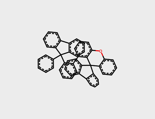 c1ccc(C2(c3ccccc3-c3cccc4c3C3(c5ccccc5O4)c4ccccc4-c4ccccc43)c3ccccc3-c3ccccc32)cc1